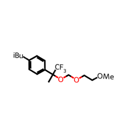 CCC(C)c1ccc(C(C)(OCOCCOC)C(F)(F)F)cc1